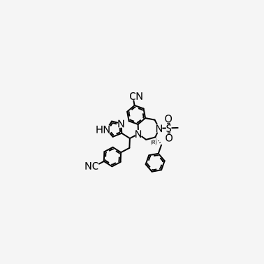 CS(=O)(=O)N1Cc2cc(C#N)ccc2N(C(Cc2ccc(C#N)cc2)c2c[nH]cn2)C[C@H]1Cc1ccccc1